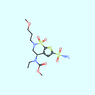 CCN(C(=O)OC)[C@H]1CN(CCCOC)S(=O)(=O)c2sc(S(N)(=O)=O)cc21